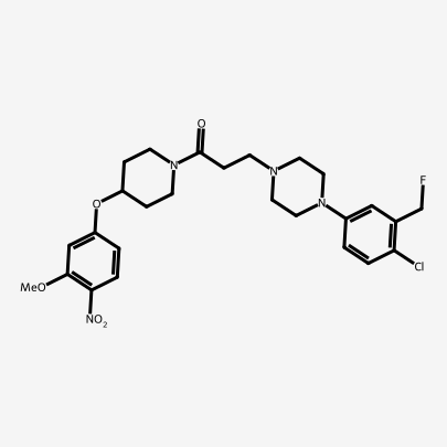 COc1cc(OC2CCN(C(=O)CCN3CCN(c4ccc(Cl)c(CF)c4)CC3)CC2)ccc1[N+](=O)[O-]